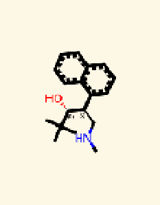 CNC[C@H](c1cccc2ccccc12)[C@@H](O)C(C)(C)C